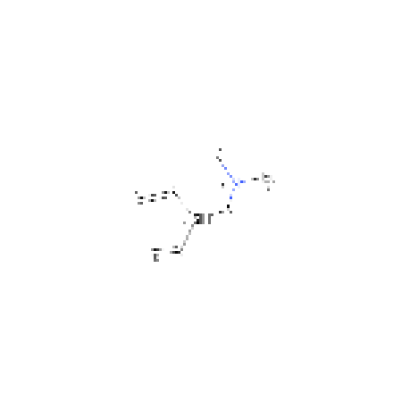 C=C[SiH](C=C)CN(C)CC